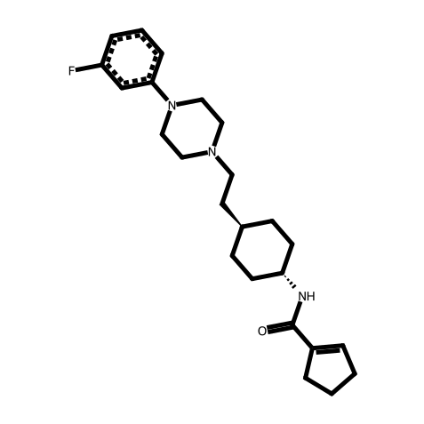 O=C(N[C@H]1CC[C@H](CCN2CCN(c3cccc(F)c3)CC2)CC1)C1=CCCC1